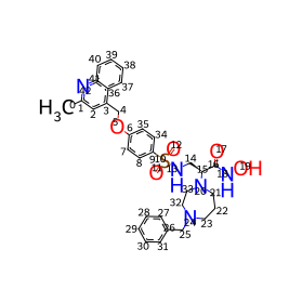 Cc1cc(COc2ccc(S(=O)(=O)NC[C@@H](C(=O)NO)N3CCCN(Cc4ccccc4)CC3)cc2)c2ccccc2n1